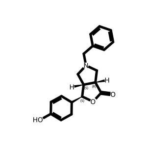 O=C1O[C@@H](C2C=CC(O)=CC2)[C@@H]2CN(Cc3ccccc3)C[C@H]12